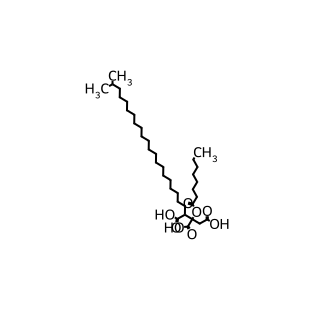 CCCCCCCC(=O)OC(CC(=O)O)(C(=O)O)C(CCCCCCCCCCCCCCCCCCCC(C)C)C(=O)O